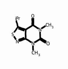 CC(C)c1snc2c1c(=O)n(C)c(=O)n2C